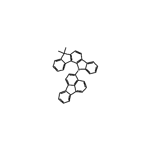 CC1(C)c2ccccc2-c2c1ccc1c3ccccc3n(-c3ccc4c5c(cccc35)-c3ccccc3-4)c21